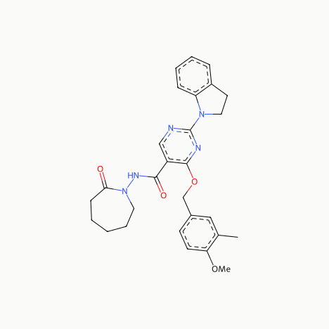 COc1ccc(COc2nc(N3CCc4ccccc43)ncc2C(=O)NN2CCCCCC2=O)cc1C